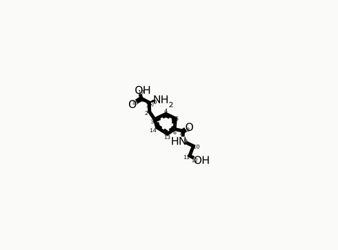 N[C@@H](Cc1ccc(C(=O)NCCO)cc1)C(=O)O